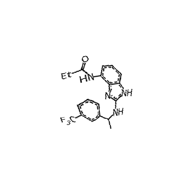 CCC(=O)Nc1cccc2[nH]c(NC(C)c3cccc(C(F)(F)F)c3)nc12